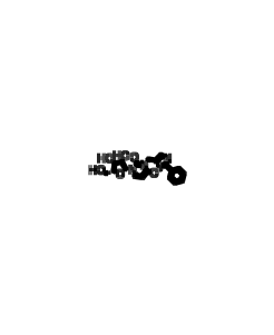 O=c1ccn([C@@H]2O[C@H](CO)C(O)C2O)c(=O)n1Cc1cnc(-c2ccccc2)s1